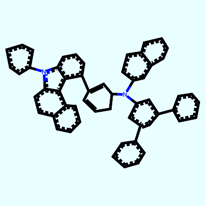 C1=CC(c2cccc3c2c2c4ccccc4ccc2n3-c2ccccc2)=CC(N(c2cc(-c3ccccc3)cc(-c3ccccc3)c2)c2ccc3ccccc3c2)C1